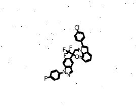 OC(Cn1c(-c2ccc(Cl)cc2)cc2ccccc21)(c1ccc2c(cnn2-c2ccc(F)cc2)c1)C(F)(F)F